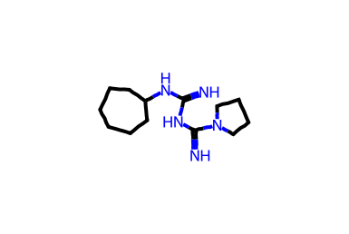 N=C(NC(=N)N1CCCC1)NC1CCCCCC1